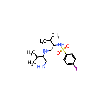 CC(C)[C@H](CN)NC[C@@H](NS(=O)(=O)c1ccc(I)cc1)C(C)C